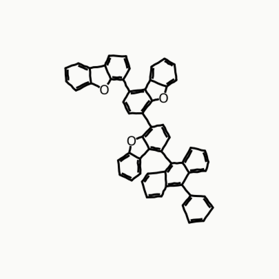 c1ccc(-c2c3ccccc3c(-c3ccc(-c4ccc(-c5cccc6c5oc5ccccc56)c5c4oc4ccccc45)c4oc5ccccc5c34)c3ccccc23)cc1